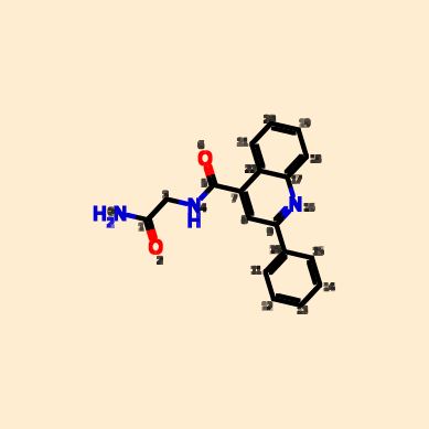 NC(=O)CNC(=O)c1cc(-c2ccccc2)nc2ccccc12